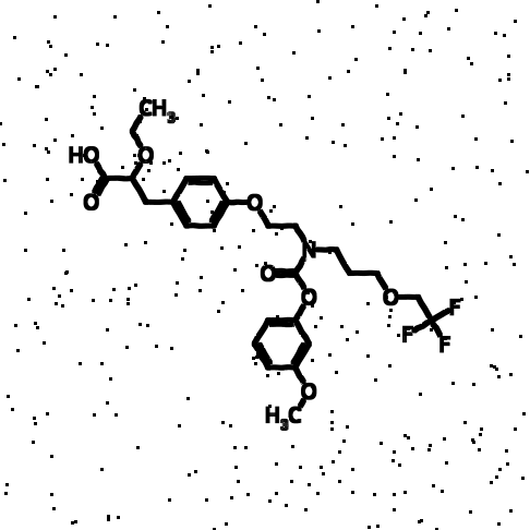 CCOC(Cc1ccc(OCCN(CCCOCC(F)(F)F)C(=O)Oc2cccc(OC)c2)cc1)C(=O)O